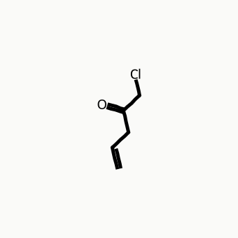 C=CCC(=O)CCl